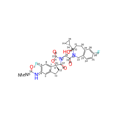 CNC(=O)Nc1cc2c(cc1F)[C@]1(CC2)OC(=O)N(CC(=O)N2Cc3ccc(F)cc3CC[C@@]2(O)C2CC2)C1=O